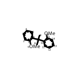 COc1ccccc1C(C)(C)c1ccccc1OC